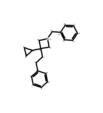 c1ccc(CCC2(C3CC3)CN(Cc3ccccc3)C2)cc1